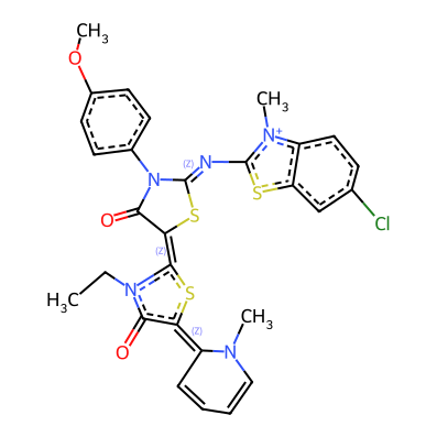 CCn1c(=O)/c(=C2\C=CC=CN2C)s/c1=C1\S/C(=N\c2sc3cc(Cl)ccc3[n+]2C)N(c2ccc(OC)cc2)C1=O